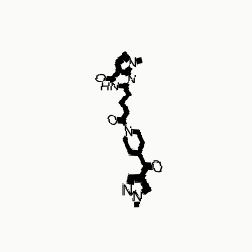 Cn1cc(C(=O)C2CCN(C(=O)CCCc3nc4c(ccn4C)c(=O)[nH]3)CC2)cn1